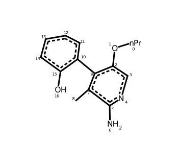 CCCOc1cnc(N)c(C)c1-c1ccccc1O